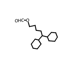 O=COCCCCC(C1CCCCC1)C1CCCCC1